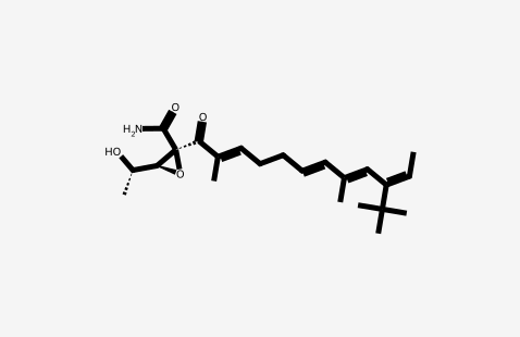 C\C=C(/C=C(C)/C=C/CC/C=C(\C)C(=O)[C@]1(C(N)=O)O[C@H]1[C@H](C)O)C(C)(C)C